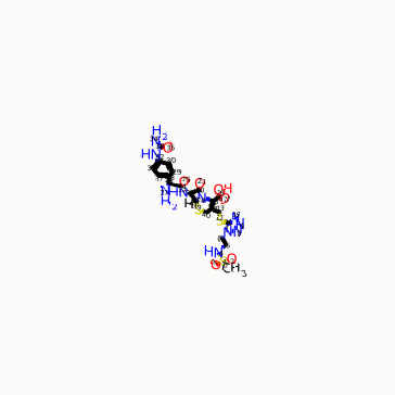 CS(=O)(=O)NCCn1nnnc1SCC1=C(C(=O)O)N2C(=O)[C@@H](NC(=O)C(N)c3ccc(NC(N)=O)cc3)[C@H]2SC1